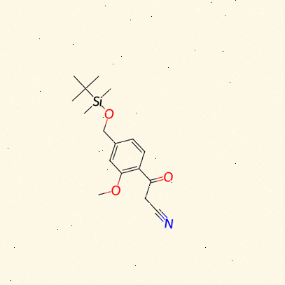 COc1cc(CO[Si](C)(C)C(C)(C)C)ccc1C(=O)CC#N